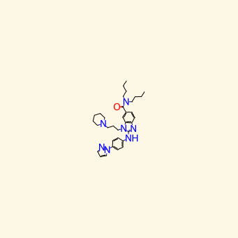 CCCCN(CCCC)C(=O)c1ccc2nc(Nc3ccc(-n4cccn4)cc3)n(CCCN3CCCCC3)c2c1